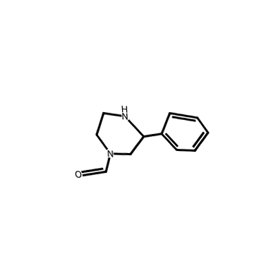 O=CN1CCNC(c2ccccc2)C1